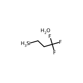 FC(F)(F)CC[SiH3].O